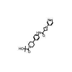 CC(C)(O)C(=O)N1CCC(c2ccc(NC(=O)C3CN(c4ccnnc4)C3)cc2)CC1